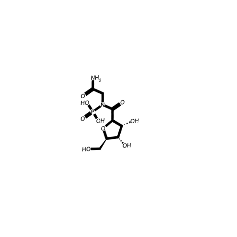 NC(=O)CN(C(=O)C1O[C@H](CO)[C@@H](O)[C@H]1O)P(=O)(O)O